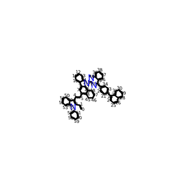 C=Cc1c(/C=C/c2cc3c4ccccc4n(-c4nc(-c5ccc(-c6cccc7ccccc67)cc5)c5ccccc5n4)c3c3c2CCC=C3)c2ccccc2n1-c1ccccc1